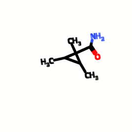 CC1C(C)C1(C)C(N)=O